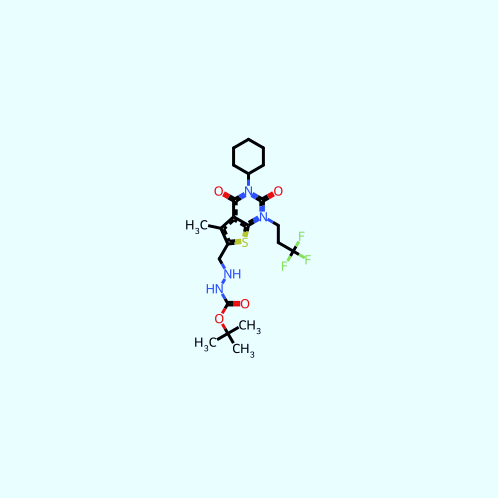 Cc1c(CNNC(=O)OC(C)(C)C)sc2c1c(=O)n(C1CCCCC1)c(=O)n2CCC(F)(F)F